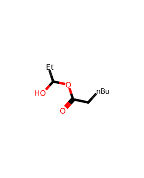 CCCCCC(=O)OC(O)CC